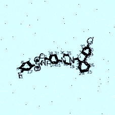 O=C(NS(=O)(=O)c1cccc(F)c1)c1ccc(N2CCN(Cc3ccccc3-c3ccc(Cl)cc3)CC2)cc1